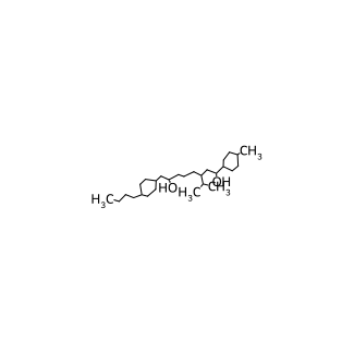 CCCCC1CCC(C[C@H](O)CCCC(CC(O)C2CCC(C)CC2)C(C)C)CC1